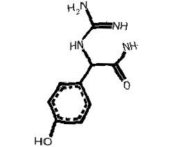 [NH]C(=O)C(NC(=N)N)c1ccc(O)cc1